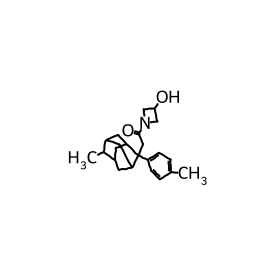 Cc1ccc(C2(CC(=O)N3CC(O)C3)C3CC4CC2CC(C3)C4C)cc1